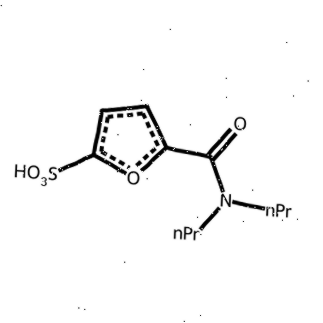 CCCN(CCC)C(=O)c1ccc(S(=O)(=O)O)o1